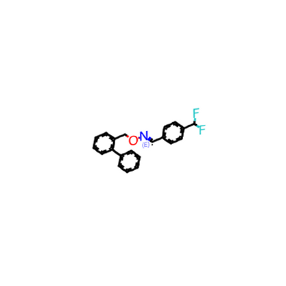 FC(F)c1ccc(/[C]=N/OCc2ccccc2-c2ccccc2)cc1